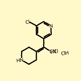 Cl.Cl.N#CC(=C1CCNCC1)c1cncc(Cl)c1